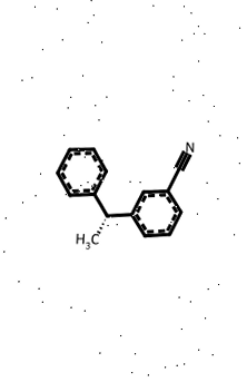 C[C@H](c1ccccc1)c1cccc(C#N)c1